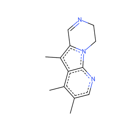 Cc1cnc2c(c1C)c(C)c1n2CCN=C1